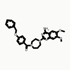 COc1cc2nc(N3CCCN(C(=O)c4ccc(OCc5ccccc5)cc4)CC3)nc(N)c2cc1OC